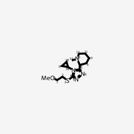 COCCSc1nnc(C2CCCCN2C)n1C1CC1